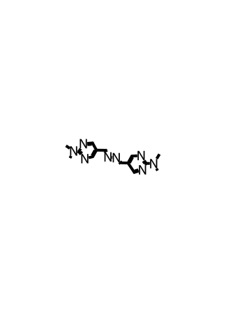 CN(C)c1ncc(/C=N/N=C/c2cnc(N(C)C)nc2)cn1